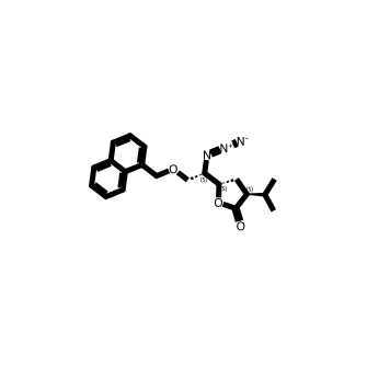 CC(C)[C@@H]1C[C@@H]([C@H](COCc2cccc3ccccc23)N=[N+]=[N-])OC1=O